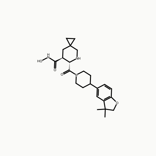 CC1(C)COc2ccc(C3CCN(C(=O)[C@H]4NCC5(CC5)C[C@@H]4C(=O)NO)CC3)cc21